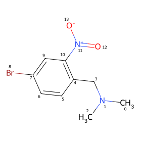 CN(C)Cc1ccc(Br)cc1[N+](=O)[O-]